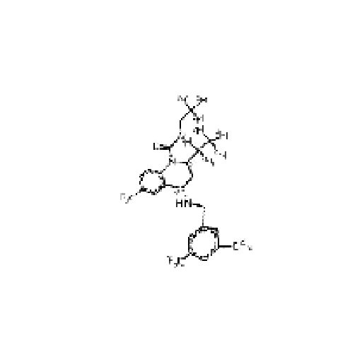 [2H]C([2H])([2H])COC(=O)N1c2ccc(C(F)(F)F)cc2[C@@H](NCc2cc(C(F)(F)F)cc(C(F)(F)F)c2)C[C@@H]1C([2H])([2H])C([2H])([2H])[2H]